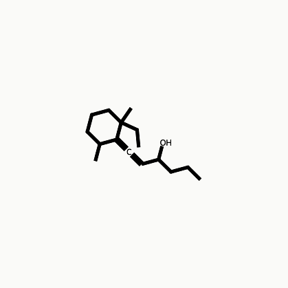 CCCC(O)C=C=C1C(C)CCCC1(C)CC